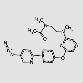 CC(=O)N(C)CCN(C)c1cncc(Oc2ccc(-c3ccc(N=[N+]=[N-])cn3)cc2)n1